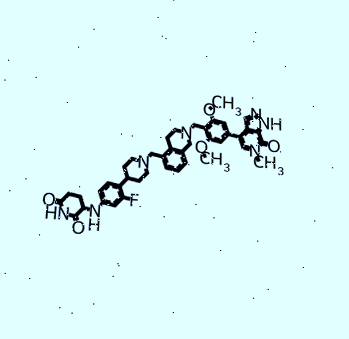 COc1cc(-c2cn(C)c(=O)c3[nH]ncc23)cc(OC)c1CN1CCc2c(CN3CCC(c4ccc(NC5CCC(=O)NC5=O)cc4F)CC3)cccc2C1